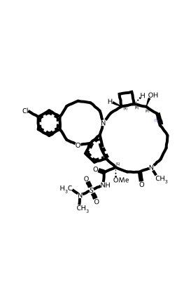 CO[C@@]1(C(=O)NS(=O)(=O)N(C)C)CC(=O)N(C)CCC/C=C/[C@H](O)[C@@H]2CC[C@H]2CN2CCCCc3cc(Cl)ccc3COc3ccc1cc32